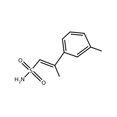 C/C(=C\S(N)(=O)=O)c1cccc(C)c1